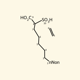 C=C.CCCCCCCCCCCCCCC(C(=O)O)S(=O)(=O)O